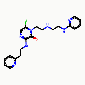 O=c1c(NCCc2ccccn2)ncc(Cl)n1CCNCCNc1ccccn1